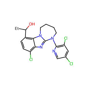 CCC(O)c1ccc(Cl)c2nc3n(c12)CCCCN3c1ncc(Cl)cc1Cl